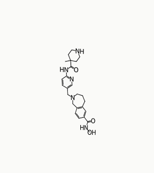 CC1(C(=O)Nc2ccc(CN3CCCc4cc(C(=O)NO)ccc4C3)cn2)CCNCC1